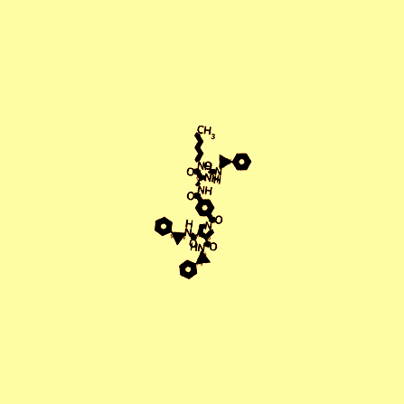 CCCCCCNC(=O)[C@H](CNC(=O)c1ccc(C(=O)N2C[C@@H](C(=O)N[C@H]3C[C@@H]3c3ccccc3)[C@H](C(=O)N[C@H]3C[C@@H]3c3ccccc3)C2)cc1)NC(=O)N[C@H]1C[C@@H]1c1ccccc1